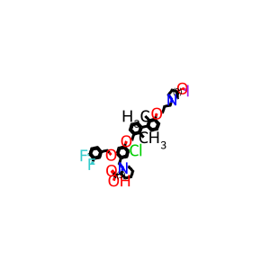 Cc1c(COc2cc(OCc3ccc(F)c(F)c3)c(CN3CCCC[C@H]3C(=O)O)cc2Cl)cccc1-c1cccc(OCCCN2CC[C@@H](OI)C2)c1C